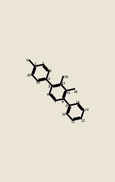 Cc1ccc(-c2ccc(-c3ccccc3)c(C)c2C)cc1